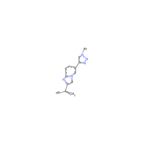 C=C(CCC)c1cn2cc(-c3cn(C(C)C)nn3)ccc2n1